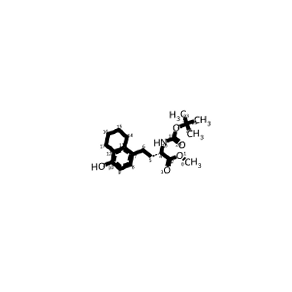 COC(=O)[C@H](CCc1ccc(O)c2c1CCCC2)NC(=O)OC(C)(C)C